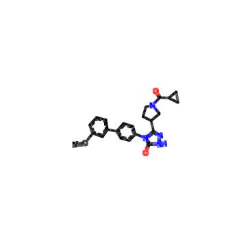 COc1cccc(-c2ccc(-n3c(C4CCN(C(=O)C5CC5)C4)n[nH]c3=O)cc2)c1